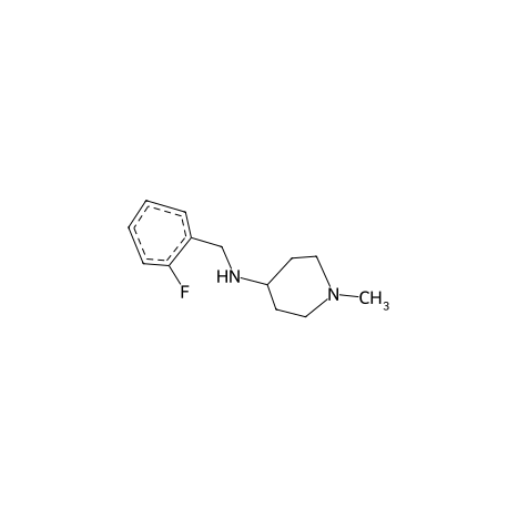 CN1CCC(NCc2ccccc2F)CC1